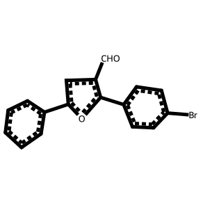 O=Cc1cc(-c2ccccc2)oc1-c1ccc(Br)cc1